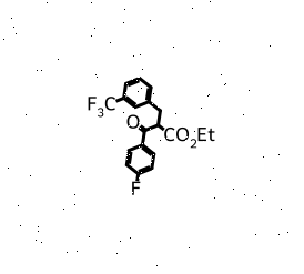 CCOC(=O)C(Cc1cccc(C(F)(F)F)c1)C(=O)c1ccc(F)cc1